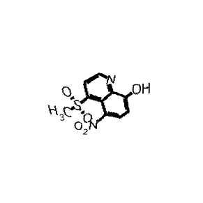 CS(=O)(=O)c1ccnc2c(O)ccc([N+](=O)[O-])c12